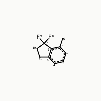 Cc1cccc2c1C(F)(F)CC2